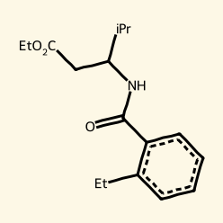 CCOC(=O)CC(NC(=O)c1ccccc1CC)C(C)C